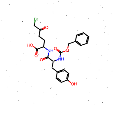 O=C(CBr)CCC(NC(=O)C(Cc1ccc(O)cc1)NC(=O)OCc1ccccc1)C(=O)O